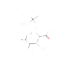 CC(C)C(C)C(C)C(OOC(C)(C)C)C(=O)O